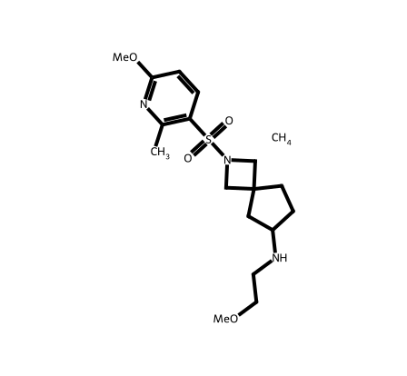 C.COCCNC1CCC2(C1)CN(S(=O)(=O)c1ccc(OC)nc1C)C2